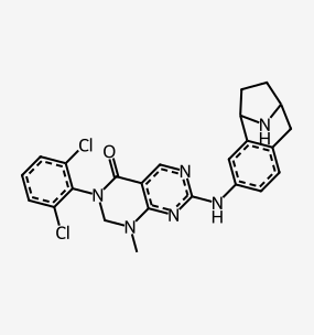 CN1CN(c2c(Cl)cccc2Cl)C(=O)c2cnc(Nc3ccc4c(c3)C3CCC(C4)N3)nc21